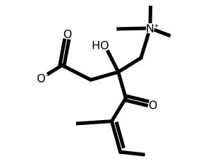 CC=C(C)C(=O)C(O)(CC(=O)[O-])C[N+](C)(C)C